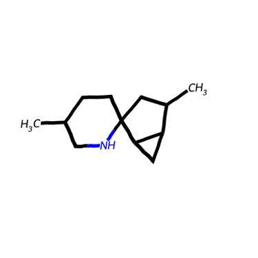 CC1CCC2(CC(C)C3CC32)NC1